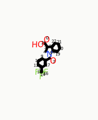 O=C(O)C1CN(C(=O)c2cccc(C(F)(F)F)c2)c2ccccc21